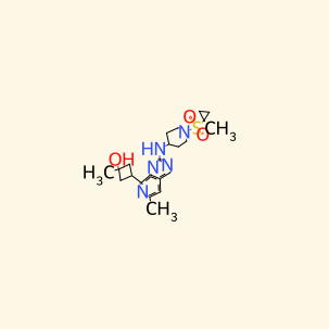 Cc1cc2cnc(NC3CCN(S(=O)(=O)C4(C)CC4)CC3)nc2c(C2CC(C)(O)C2)n1